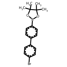 CC1(C)OB(c2ccc(-c3ccc(Br)cc3)cc2)OC1(C)C